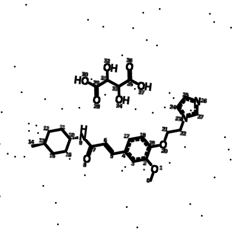 COc1cc(C=CC(=O)N[C@H]2CC[C@H](C)CC2)ccc1OCCn1ccnc1.O=C(O)C(O)C(O)C(=O)O